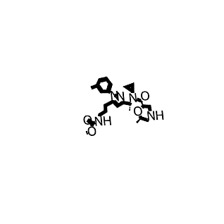 COC(=O)NCCCc1cc([C@@H](C)N(C(=O)[C@H]2CNC[C@@H](C)O2)C2CC2)nn1-c1cccc(C)c1